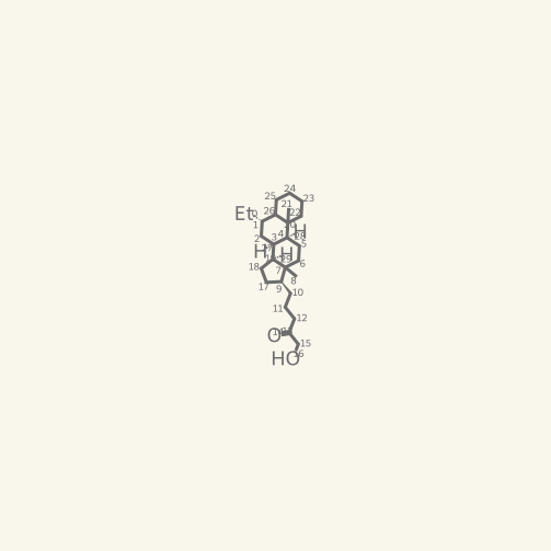 CC[C@H]1C[C@H]2[C@H](CCC3(C)[C@@H](CCCC(=O)CO)CC[C@@H]23)C2(C)CCCCC12